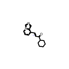 O=C(/C=C/c1cccn2cncc12)C1CCCCC1